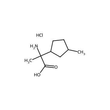 CC1CCC(C(C)(N)C(=O)O)C1.Cl